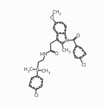 COc1ccc2c(c1)c(CC(=O)NCC[Si](C)(C)c1ccc(Cl)cc1)c(C)n2C(=O)c1ccc(Cl)cc1